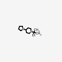 CCC(C)(C)N1CCC(N2CCCC2)CC1